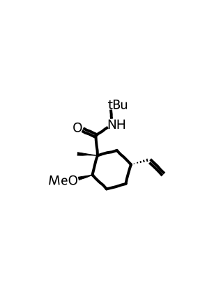 C=C[C@@H]1CC[C@@H](OC)[C@](C)(C(=O)NC(C)(C)C)C1